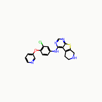 Clc1cc(Nc2ncnc3sc4c(c23)CCNC4)ccc1Oc1cccnc1